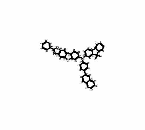 CC1(C)c2ccccc2-c2ccc(N(c3ccc(-c4ccc5ccccc5c4)cc3)c3ccc4c(c3)oc3cc5nc(-c6ccccc6)oc5cc34)cc21